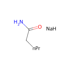 CCCCC(N)=O.[NaH]